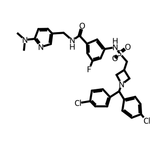 CN(C)c1ccc(CNC(=O)c2cc(F)cc(NS(=O)(=O)CC3CN(C(c4ccc(Cl)cc4)c4ccc(Cl)cc4)C3)c2)cn1